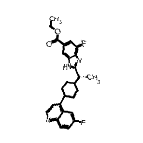 CCOC(=O)c1cc(F)c2nc([C@H](C)C3CCC(c4ccnc5ccc(F)cc45)CC3)[nH]c2c1